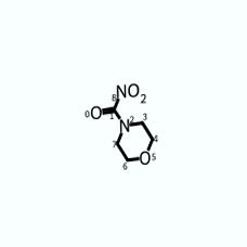 O=C(N1CCOCC1)[N+](=O)[O-]